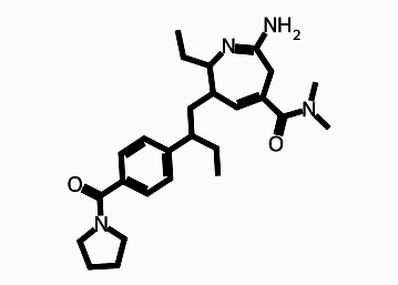 CCC(CC1C=C(C(=O)N(C)C)CC(N)=NC1CC)c1ccc(C(=O)N2CCCC2)cc1